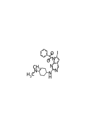 CN(C)C1CCC(Nc2ncc3cc(I)n(S(=O)(=O)c4ccccc4)c3n2)CC1